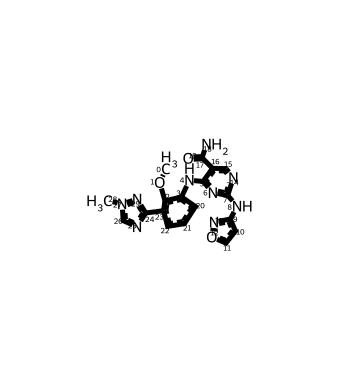 COc1c(Nc2nc(Nc3ccon3)ncc2C(N)=O)cccc1-c1ncn(C)n1